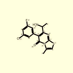 Cc1csc2nc(C(C)N)c(-c3cc(F)cc(Cl)c3)c(=O)n12